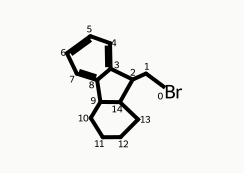 BrCC1c2ccccc2C2CCCCC12